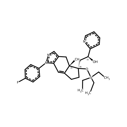 CC[Si](CC)(CC)O[C@@]1(C[C@H](O)c2ccccn2)CCC2=Cc3c(cnn3-c3ccc(F)cc3)C[C@@]21C